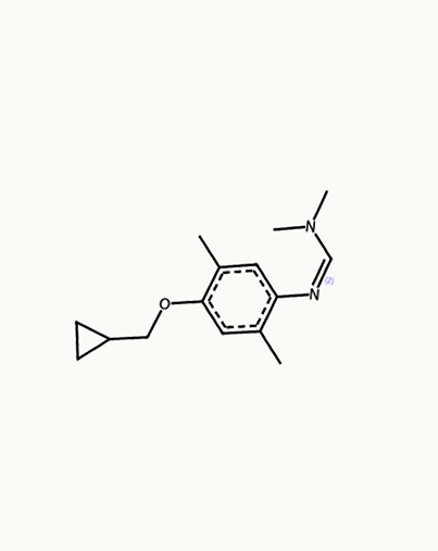 Cc1cc(OCC2CC2)c(C)cc1/N=C\N(C)C